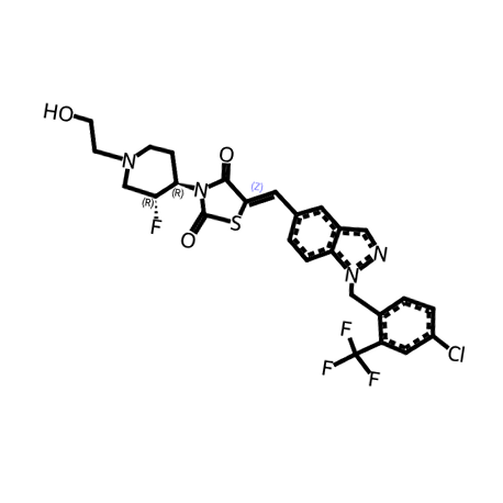 O=C1S/C(=C\c2ccc3c(cnn3Cc3ccc(Cl)cc3C(F)(F)F)c2)C(=O)N1[C@@H]1CCN(CCO)C[C@H]1F